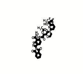 CC(=O)O[C@@H](C(=O)Nc1ccc2c(N3C(=O)c4ccccc4C3=O)nsc2c1C(N)=O)[C@H]1OCCN(c2cccc(C(C)(O)C(F)(F)F)n2)C1=O